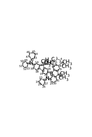 CC1(C)CCC(C)(C)c2cc3c(cc21)B1c2cc4c(cc2N(c2ccccc2)c2cccc(c21)C3(C)C)-c1ccc(N(c2ccccc2)c2ccccc2)cc1C4(C)C